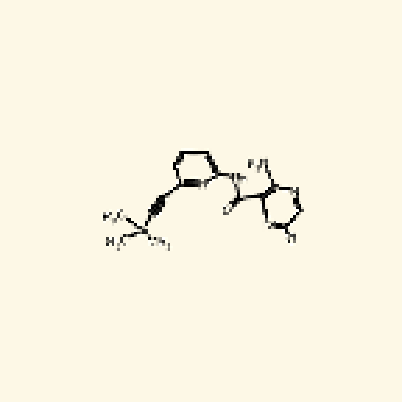 C[Si](C)(C)C#Cc1cccc(NC(=O)c2nc(Cl)cnc2N)n1